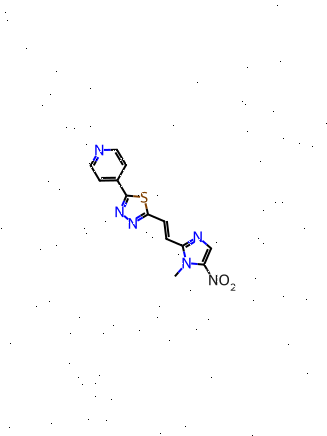 Cn1c([N+](=O)[O-])cnc1C=Cc1nnc(-c2ccncc2)s1